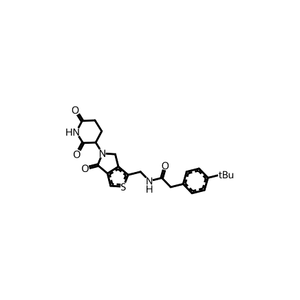 CC(C)(C)c1ccc(CC(=O)NCc2scc3c2CN(C2CCC(=O)NC2=O)C3=O)cc1